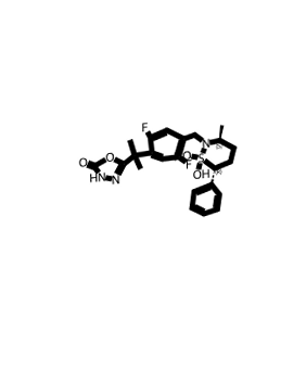 C[C@H]1CC[C@H](c2ccccc2)S(O)(O)N1Cc1cc(F)c(C(C)(C)c2n[nH]c(=O)o2)cc1F